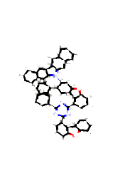 c1ccc(-c2nc(-c3cccc4oc5ccccc5c34)nc(-c3cccc4oc5cc(-n6c7cc8ccccc8cc7c7cc8ccccc8cc76)c(-c6ccccc6)cc5c34)n2)cc1